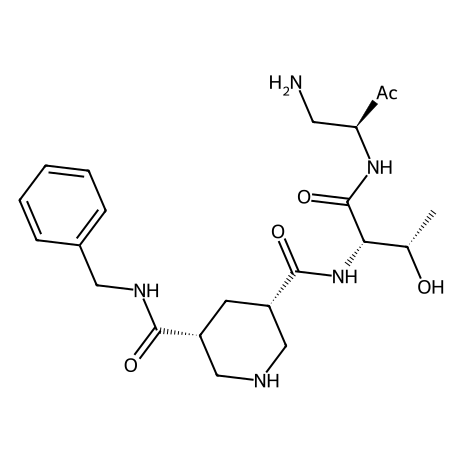 CC(=O)[C@H](CN)NC(=O)[C@@H](NC(=O)[C@@H]1CNC[C@H](C(=O)NCc2ccccc2)C1)[C@H](C)O